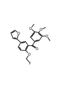 COc1cc(C(=O)c2cc(-c3ccco3)ccc2OCF)cc(OC)c1OC